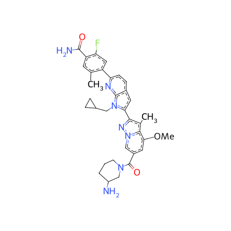 COc1cc(C(=O)N2CCCC(N)C2)cn2nc(-c3cc4ccc(-c5cc(F)c(C(N)=O)cc5C)nc4n3CC3CC3)c(C)c12